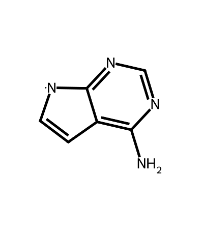 Nc1ncnc2c1C=C[N]2